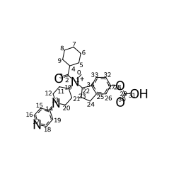 C[N+](C(=O)C1CCCCC1)(C1CCN(c2ccncc2)CC1)C1CCc2cc(OC(=O)O)ccc21